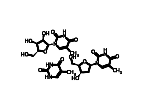 Cc1c[nH]c(=O)[nH]c1=O.Cc1cn([C@@H]2O[C@H](CO)[C@@H](O)[C@H]2O)c(=O)[nH]c1=O.Cc1cn([C@H]2C[C@H](O)[C@@H](CO)O2)c(=O)[nH]c1=O